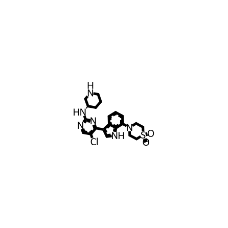 O=S1(=O)CCN(c2cccc3c(-c4nc(N[C@H]5CCCNC5)ncc4Cl)c[nH]c23)CC1